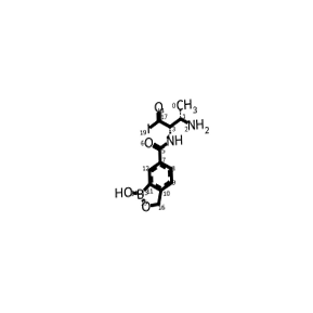 C[C@H](N)[C@H](NC(=O)c1ccc2c(c1)B(O)OC2)C(=O)I